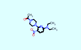 CCN(CC)c1ccc([N+](=O)[O-])c(N2CCN(C(C)=O)CC2)n1